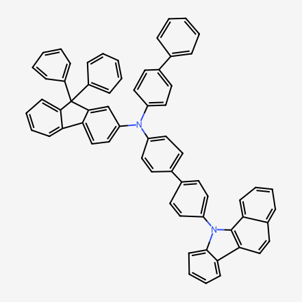 c1ccc(-c2ccc(N(c3ccc(-c4ccc(-n5c6ccccc6c6ccc7ccccc7c65)cc4)cc3)c3ccc4c(c3)C(c3ccccc3)(c3ccccc3)c3ccccc3-4)cc2)cc1